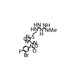 CNC(=N)NC(=N)NCCSc1nonc1-c1noc(=O)n1-c1ccc(F)c(Br)c1